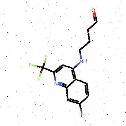 O=CCCCNc1cc(C(F)(F)F)nc2cc(Cl)ccc12